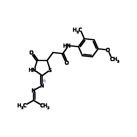 COc1ccc(NC(=O)CC2S/C(=N/N=C(C)C)NC2=O)c(C)c1